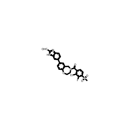 CCc1c(C(=O)N2CCOc3ccc(-c4ccc5nc(C=O)[nH]c5c4)cc3C2)ccc(S(C)(=O)=O)c1F